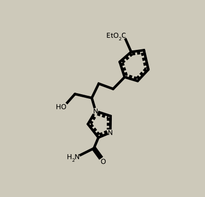 CCOC(=O)c1cccc(CCC(CO)n2cnc(C(N)=O)c2)c1